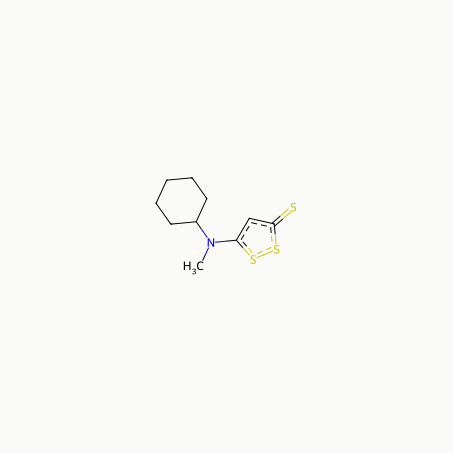 CN(c1cc(=S)ss1)C1CCCCC1